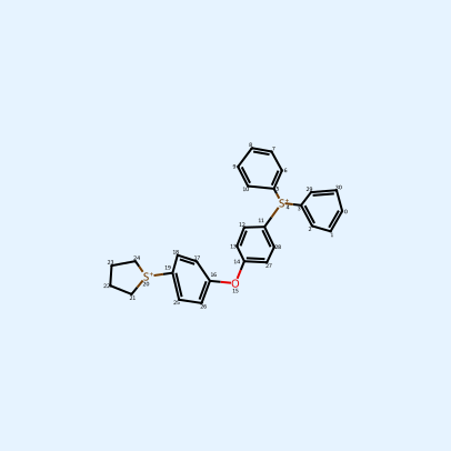 c1ccc([S+](c2ccccc2)c2ccc(Oc3ccc([S+]4CCCC4)cc3)cc2)cc1